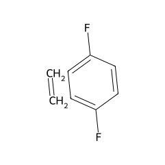 C=C.Fc1ccc(F)cc1